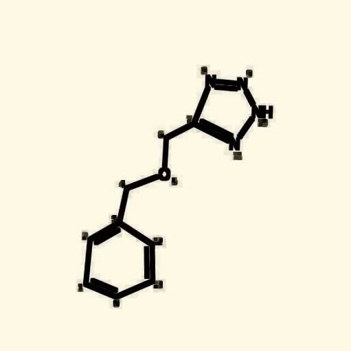 c1ccc(COCc2nn[nH]n2)cc1